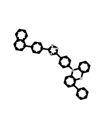 c1ccc(-c2cccc3c2Oc2ccccc2N3c2ccc(-c3nc(-c4ccc(-c5cccc6ccccc56)cc4)ns3)cc2)cc1